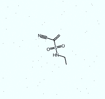 C=C(C#N)S(=O)(=O)NCC